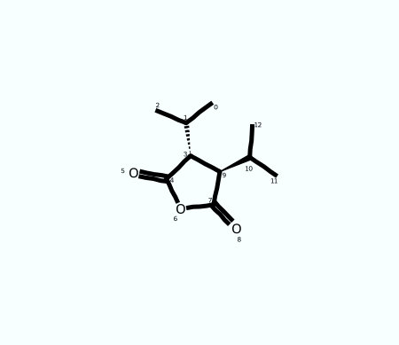 CC(C)[C@H]1C(=O)OC(=O)[C@@H]1C(C)C